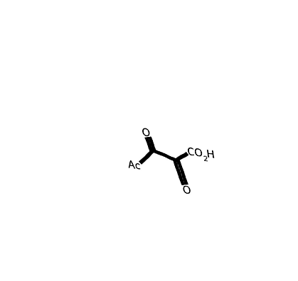 CC(=O)C(=O)C(=O)C(=O)O